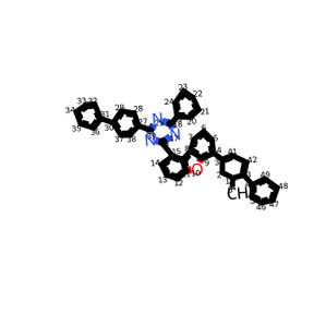 CC1CC(c2cccc3c2oc2cccc(-c4nc(-c5ccccc5)nc(-c5ccc(-c6ccccc6)cc5)n4)c23)=CC=C1c1ccccc1